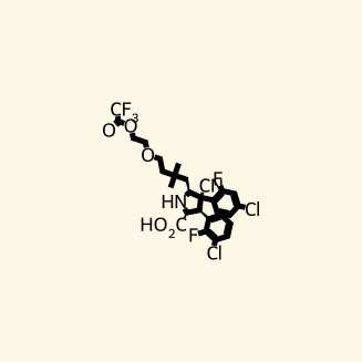 CC(C)(CCOCCOC(=O)C(F)(F)F)C[C@@H]1N[C@@H](C(=O)O)[C@H](c2cccc(Cl)c2F)[C@@]1(C#N)c1ccc(Cl)cc1F